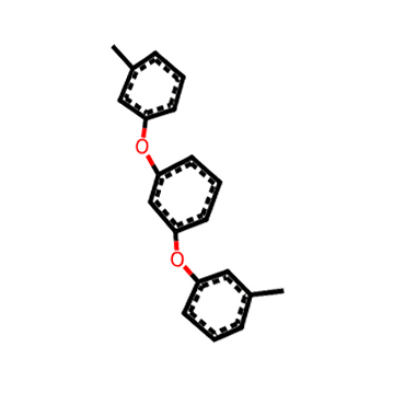 Cc1cccc(Oc2cccc(Oc3cccc(C)c3)c2)c1